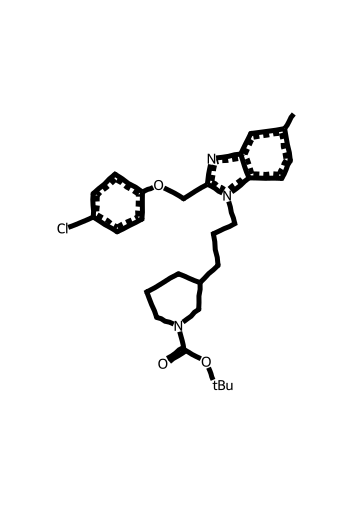 Cc1ccc2c(c1)nc(COc1ccc(Cl)cc1)n2CCCC1CCCN(C(=O)OC(C)(C)C)C1